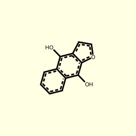 Oc1c2ccccc2c(O)c2occc12